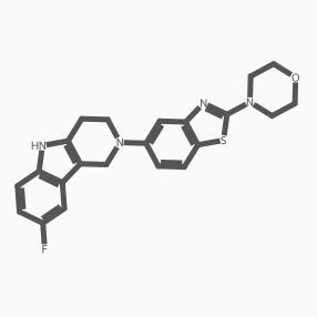 Fc1ccc2[nH]c3c(c2c1)CN(c1ccc2sc(N4CCOCC4)nc2c1)CC3